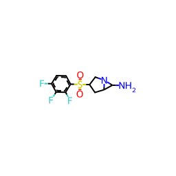 NC1C2CC(S(=O)(=O)c3ccc(F)c(F)c3F)CN12